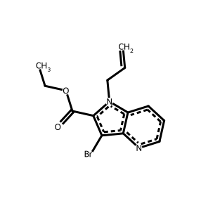 C=CCn1c(C(=O)OCC)c(Br)c2ncccc21